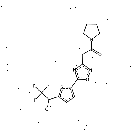 O=C(Cc1noc(-c2ccc(C(O)C(F)(F)F)s2)n1)N1CCCC1